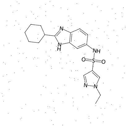 CCn1cc(S(=O)(=O)Nc2ccc3nc(C4CCCCC4)[nH]c3c2)cn1